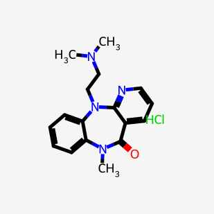 CN(C)CCN1c2ccccc2N(C)C(=O)c2cccnc21.Cl